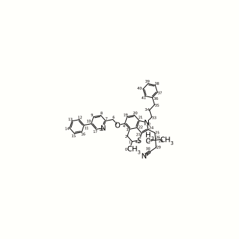 CC1Cc2c(OCc3ccc(-c4ccccc4)cn3)ccc3c2c(c(CC(C)(C)CC#N)n3CCCc2ccccc2)S1